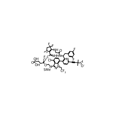 CSN(COC(=O)CCP(=O)(O)O)c1nn(CC(F)(F)F)c2c(-c3ccc(C#CC(C)(C)[S+](C)[O-])nc3C(Cc3cc(F)cc(F)c3)NC(=O)CNC3=C(C(=N)C(F)(F)F)[C@@H](C)CC3(F)F)ccc(Cl)c12